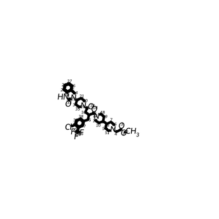 COC(=O)CN1CCC(C2CCN(C(=O)C(CC(=O)N3CCC(N4Cc5ccccc5NC4=O)CC3)Cc3ccc(Cl)c(C(F)(F)F)c3)CC2)CC1